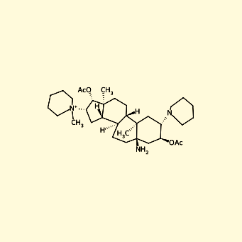 CC(=O)O[C@H]1C[C@]2(N)CC[C@H]3[C@@H]4C[C@H]([N+]5(C)CCCCC5)[C@H](OC(C)=O)[C@@]4(C)CC[C@@H]3[C@@]2(C)C[C@@H]1N1CCCCC1